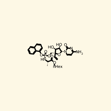 C=C[C@]1(COP(=O)(N[C@@H](C)C(=O)OCCCCCC)Oc2cccc3ccccc23)O[C@@H](n2ccc(N)nc2=O)[C@H](O)[C@@H]1O